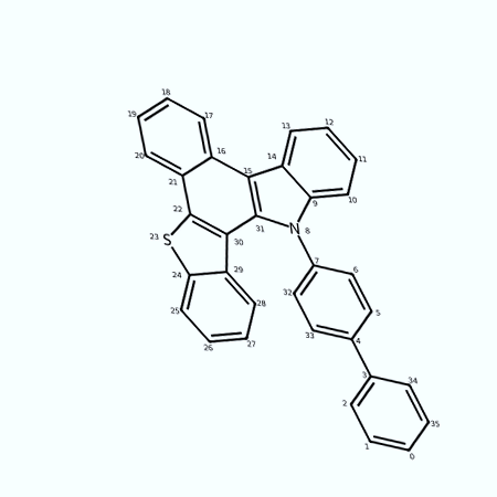 c1ccc(-c2ccc(-n3c4ccccc4c4c5ccccc5c5sc6ccccc6c5c43)cc2)cc1